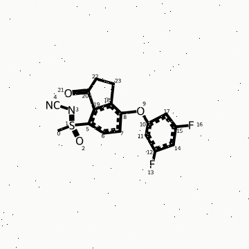 CS(=O)(=NC#N)c1ccc(Oc2cc(F)cc(F)c2)c2c1C(=O)CC2